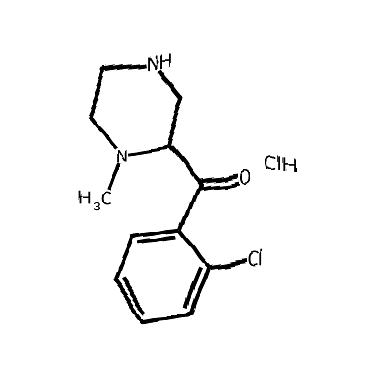 CN1CCNCC1C(=O)c1ccccc1Cl.Cl